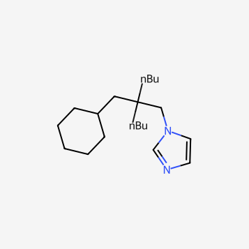 CCCCC(CCCC)(CC1CCCCC1)Cn1ccnc1